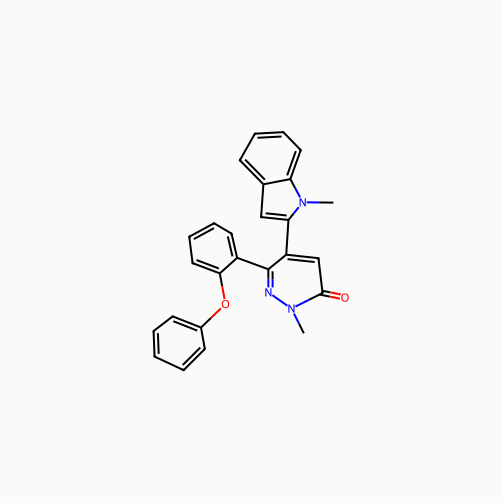 Cn1nc(-c2ccccc2Oc2ccccc2)c(-c2cc3ccccc3n2C)cc1=O